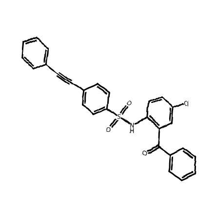 O=C(c1ccccc1)c1cc(Cl)ccc1NS(=O)(=O)c1ccc(C#Cc2ccccc2)cc1